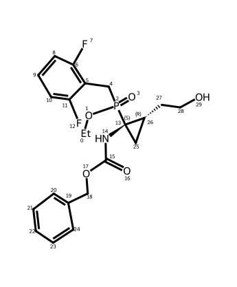 CCOP(=O)(Cc1c(F)cccc1F)[C@@]1(NC(=O)OCc2ccccc2)C[C@H]1CCO